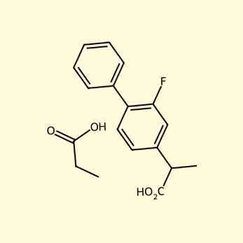 CC(C(=O)O)c1ccc(-c2ccccc2)c(F)c1.CCC(=O)O